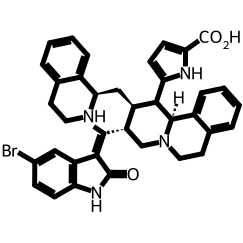 CC(=C1C(=O)Nc2ccc(Br)cc21)[C@H]1CN2CCc3ccccc3[C@@H]2C(c2ccc(C(=O)O)[nH]2)[C@@H]1C[C@H]1NCCc2ccccc21